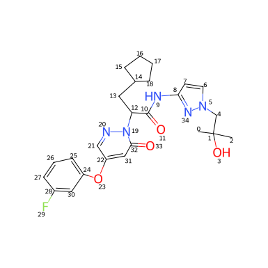 CC(C)(O)Cn1ccc(NC(=O)C(CC2CCCC2)n2ncc(Oc3cccc(F)c3)cc2=O)n1